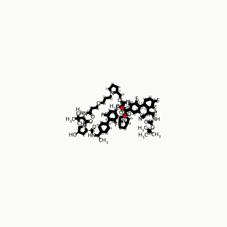 C[C@H](NC(=O)[C@@H]1C[C@@H](O)CN1C(=O)[C@@H](NC(=O)CCOCCCN1CCCC1COc1nc(N2CC3CCC(C2)N3C(=O)OC(C)(C)C)c2cc(Cl)c(-c3ccc(F)c4sc(NC(=O)OC(C)(C)C)c(C#N)c34)c(F)c2n1)C(C)(C)C)c1ccc(-c2c(F)cc(F)cc2F)cc1